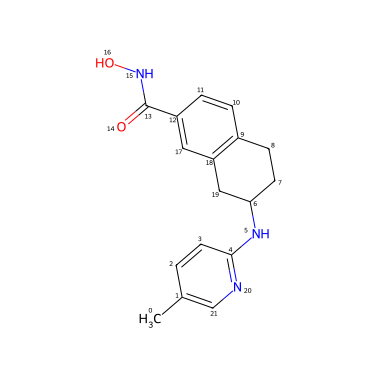 Cc1ccc(NC2CCc3ccc(C(=O)NO)cc3C2)nc1